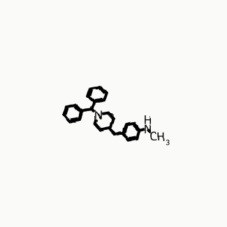 CNc1ccc(CC2CCN(C(c3ccccc3)c3ccccc3)CC2)cc1